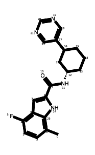 Cc1ccc(F)c2cc(C(=O)N[C@H]3CCCC(c4cncnc4)C3)[nH]c12